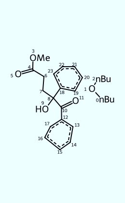 CCCCOCCCC.COC(=O)CCC(O)(C(=O)c1ccccc1)c1ccccc1